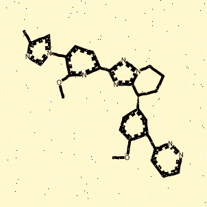 COc1ccc([C@@H]2CCCn3nc(-c4ccc(-n5cnc(C)c5)c(OC)n4)nc32)cc1-c1cccnn1